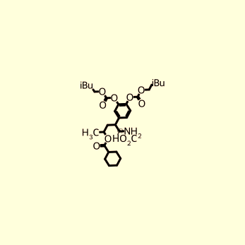 CCC(C)COC(=O)Oc1ccc(C(CC(C)OC(=O)C2CCCCC2)[C@H](N)C(=O)O)cc1OC(=O)OCC(C)CC